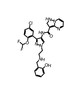 O=C(Nc1cn(CCNCc2ccccc2O)nc1-c1cc(Cl)ccc1OC(F)F)C1=C2N=CC=CN2NC1